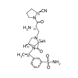 C[C@H](c1cccc(S(N)(=O)=O)c1)N1C(=O)[C@@H]2C[C@H]1CN2C[C@H](N)C(=O)N1CCC[C@H]1C#N